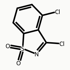 O=S1(=O)N=C(Cl)c2c(Cl)cccc21